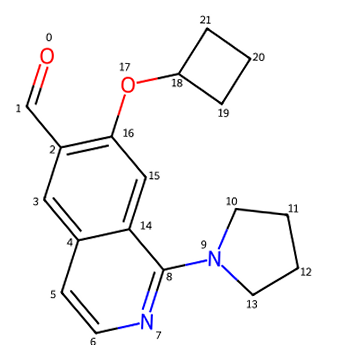 O=Cc1cc2ccnc(N3CCCC3)c2cc1OC1CCC1